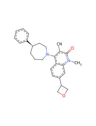 Cn1c(=O)c(C#N)c(N2CCC[C@@H](c3ccccc3)CC2)c2ccc(C3COC3)cc21